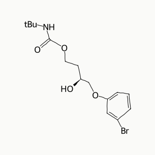 CC(C)(C)NC(=O)OCC[C@H](O)COc1cccc(Br)c1